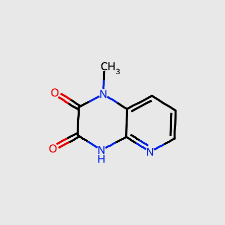 Cn1c(=O)c(=O)[nH]c2ncccc21